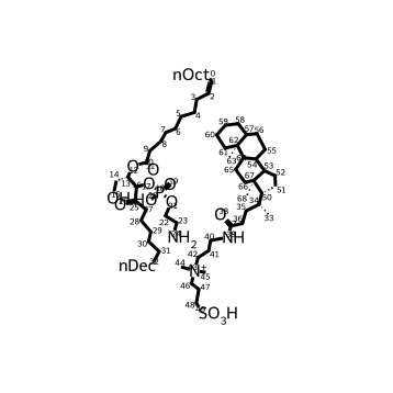 CCCCCCCC/C=C\CCCCCCCC(=O)O[C@@H](CO)C(OP(=O)(O)OCCN)C(=O)CCCCCCCCCCCCCCC.C[C@H](CCC(=O)NCCC[N+](C)(C)CCCS(=O)(=O)O)[C@H]1CCC2C3CCC4CCCC[C@]4(C)C3CC[C@@]21C